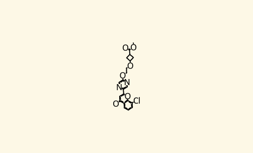 COC(=O)C1CC(OCCOc2cnc(-c3cc(=O)c4cccc(Cl)c4o3)cn2)C1